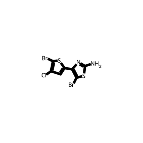 Nc1nc(-c2cc(Cl)c(Br)s2)c(Br)s1